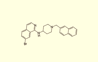 Brc1ccc2ccnc(NC3CCN(Cc4ccc5ccccc5c4)CC3)c2c1